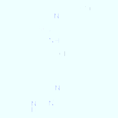 CC(C)(C)c1ccc(C(=O)NCc2ccc(-c3ncnc4[nH]ccc34)cc2C(F)(F)F)nc1